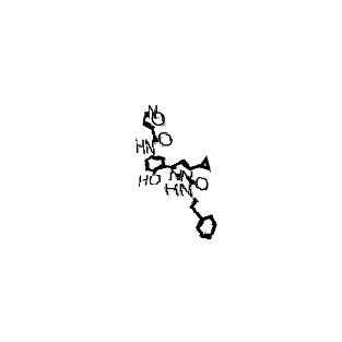 O=C(Nc1ccc(O)c(-c2cc(C3CC3)n(C(=O)NCCc3ccccc3)n2)c1)c1ccno1